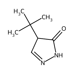 CC(C)(C)C1C=NNC1=O